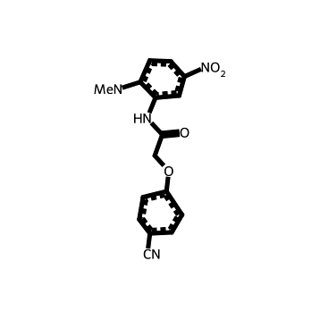 CNc1ccc([N+](=O)[O-])cc1NC(=O)COc1ccc(C#N)cc1